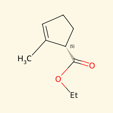 CCOC(=O)[C@H]1CCC=C1C